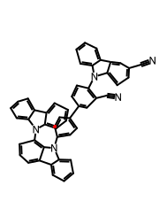 N#Cc1ccc2c(c1)c1ccccc1n2-c1ccc(-c2ccc(-n3c4ccccc4c4cccc(-n5c6ccccc6c6ccccc65)c43)cc2)cc1C#N